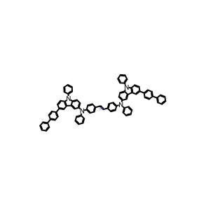 C(=C\c1ccc(N(c2ccccc2)c2ccc3c(c2)c2cc(-c4ccc(-c5ccccc5)cc4)ccc2n3-c2ccccc2)cc1)/c1ccc(N(c2ccccc2)c2ccc3c(c2)c2cc(-c4ccc(-c5ccccc5)cc4)ccc2n3-c2ccccc2)cc1